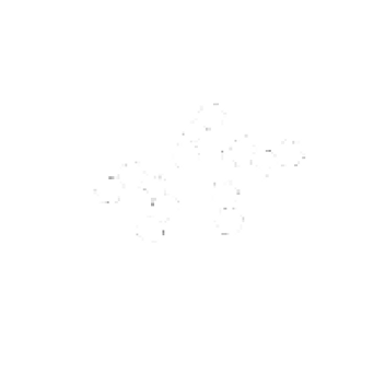 c1ccc2cc(-c3nc(-c4cccc5oc6cc(-n7c8ccc9ccccc9c8c8c9ccccc9ccc87)ccc6c45)nc4c3sc3ccccc34)ccc2c1